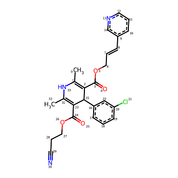 CC1=C(C(=O)OC/C=C/c2cccnc2)C(c2cccc(Cl)c2)C(C(=O)OCCC#N)=C(C)N1